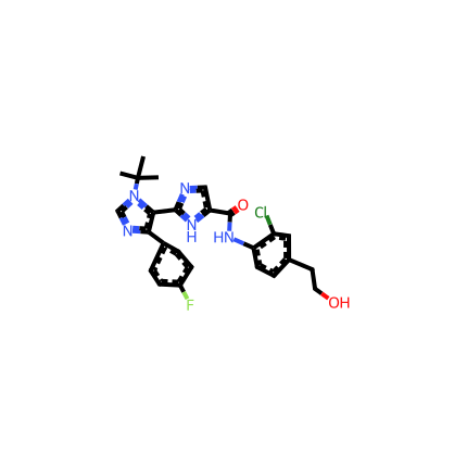 CC(C)(C)n1cnc(-c2ccc(F)cc2)c1-c1ncc(C(=O)Nc2ccc(CCO)cc2Cl)[nH]1